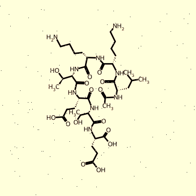 CC(=O)N[C@@H](CC(C)C)C(=O)N[C@@H](CCCCN)C(=O)N[C@@H](CCCCN)C(=O)N[C@H](C(=O)N[C@@H](CCC(=O)O)C(=O)N[C@H](C(=O)N[C@@H](CCC(=O)O)C(=O)O)[C@@H](C)O)[C@@H](C)O